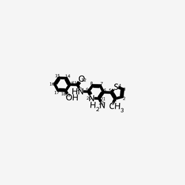 Cc1ccsc1-c1ccc(NC(=O)c2ccccc2O)nc1N